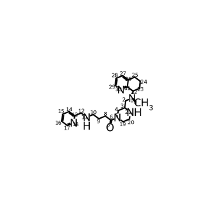 CN(CC1CN(C(=O)CCCNCc2ccccn2)CCN1)C1CCCc2cccnc21